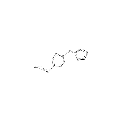 S=C=Nc1ccc(Cc2cccs2)cc1